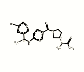 CC(=O)N(C)[C@H]1CCN(C(=O)c2ccc(N[C@@H](C)c3cncc(Br)c3)nc2)C1